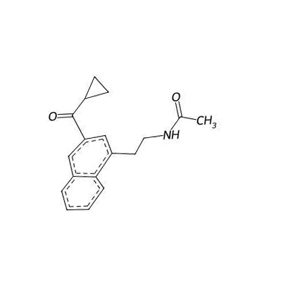 CC(=O)NCCc1cc(C(=O)C2CC2)cc2ccccc12